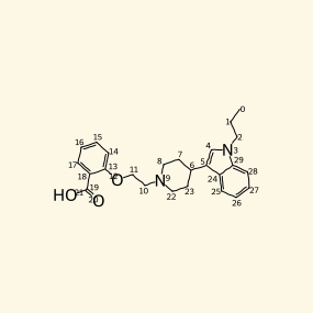 CCCn1cc(C2CCN(CCOc3ccccc3C(=O)O)CC2)c2ccccc21